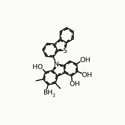 Bc1c(C)c(O)c2c(c1C)c1c(O)c(O)c(O)cc1n2-c1cccc2c1sc1ccccc12